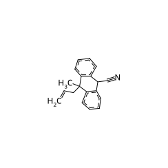 C=CCC1(C)c2ccccc2C(C#N)c2ccccc21